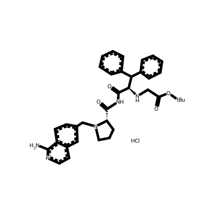 CC(C)(C)OC(=O)CN[C@@H](C(=O)NC(=O)[C@@H]1CCCN1Cc1ccc2c(N)nccc2c1)C(c1ccccc1)c1ccccc1.Cl